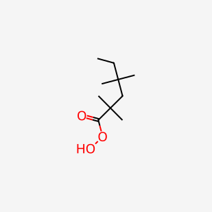 CCC(C)(C)CC(C)(C)C(=O)OO